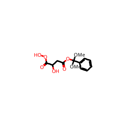 COC(OC)(OC(=O)CC(O)C(=O)OO)c1ccccc1